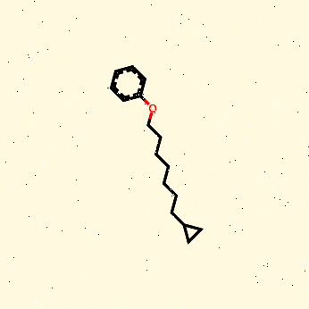 [c]1cccc(OCCCCCCCC2CC2)c1